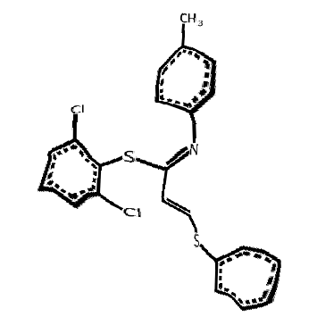 Cc1ccc(N=C(C=CSc2ccccc2)Sc2c(Cl)cccc2Cl)cc1